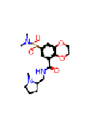 CN1CCCC1CNC(=O)c1cc(S(=O)(=O)N(C)C)cc2c1OCCO2